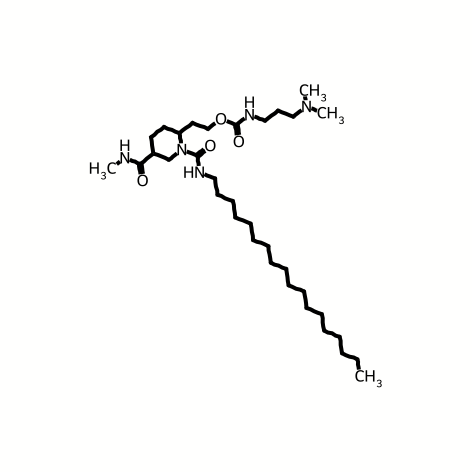 CCCCCCCCCCCCCCCCCCNC(=O)N1CC(C(=O)NC)CCC1CCOC(=O)NCCCN(C)C